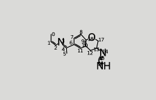 C/C=C\N=C(/C)c1ccc2c(c1)CC(N=C=N)CO2